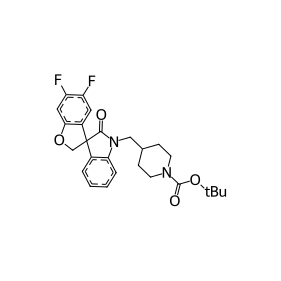 CC(C)(C)OC(=O)N1CCC(CN2C(=O)C3(COc4cc(F)c(F)cc43)c3ccccc32)CC1